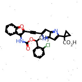 CC(OC(=O)Nc1c(C#CC2=CC3=NC(C4(C(=O)O)CC4)=CC3=N2)oc2ccccc12)c1ccccc1Cl